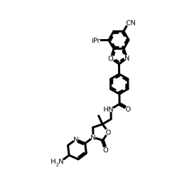 CC(C)c1cc(C#N)cc2nc(-c3ccc(C(=O)NCC4(C)CN(C5=NCC(N)C=C5)C(=O)O4)cc3)oc12